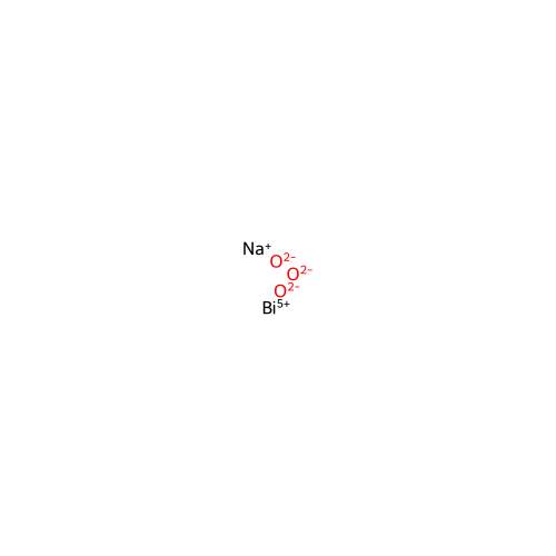 [Bi+5].[Na+].[O-2].[O-2].[O-2]